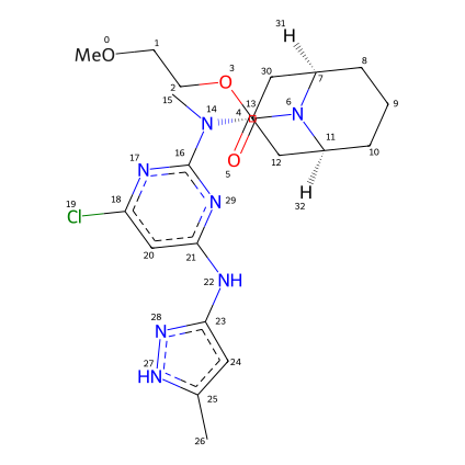 COCCOC(=O)N1[C@@H]2CCC[C@H]1C[C@H](N(C)c1nc(Cl)cc(Nc3cc(C)[nH]n3)n1)C2